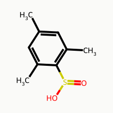 Cc1cc(C)c(S(=O)O)c(C)c1